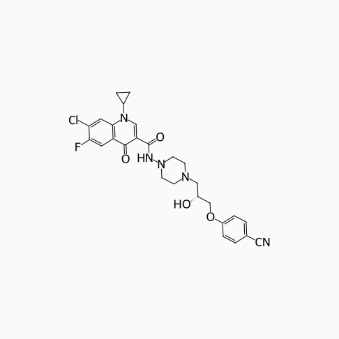 N#Cc1ccc(OC[C@H](O)CN2CCN(NC(=O)c3cn(C4CC4)c4cc(Cl)c(F)cc4c3=O)CC2)cc1